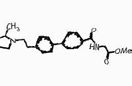 COC(=O)CNC(=O)c1ccc(-c2ccc(CCN3CCC[C@H]3C)cc2)cc1